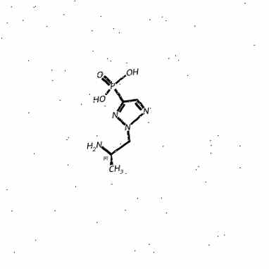 C[C@@H](N)Cn1ncc(P(=O)(O)O)n1